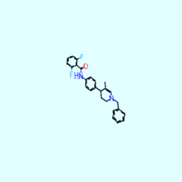 CC1=CN(Cc2ccccc2)CCC1c1ccc(NC(=O)c2c(F)cccc2F)cc1